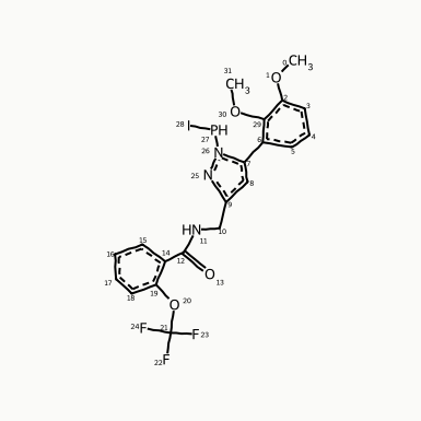 COc1cccc(-c2cc(CNC(=O)c3ccccc3OC(F)(F)F)nn2PI)c1OC